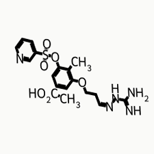 CC(=O)O.Cc1c(OCC/C=N\NC(=N)N)cccc1OS(=O)(=O)c1cccnc1